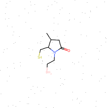 BCCN1C(=O)CC(C)C1CS